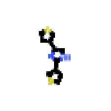 c1cc(-c2c[nH]c(-c3ccsc3)n2)cs1